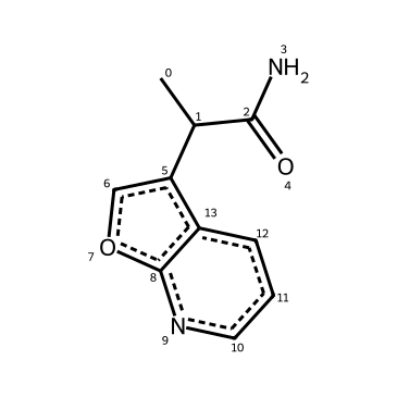 CC(C(N)=O)c1coc2ncccc12